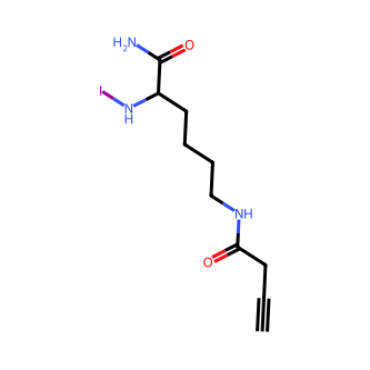 C#CCC(=O)NCCCCC(NI)C(N)=O